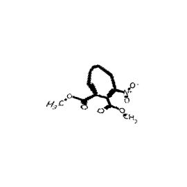 COC(=O)C1=CCCC([N+](=O)[O-])=C1C(=O)OC